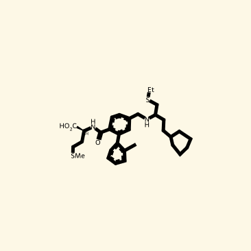 CCSCC(CCC1CCCCC1)NCc1ccc(C(=O)N[C@@H](CCSC)C(=O)O)c(-c2ccccc2C)c1